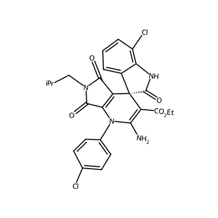 CCOC(=O)C1=C(N)N(c2ccc(Cl)cc2)C2=C(C(=O)N(CC(C)C)C2=O)[C@]12C(=O)Nc1c(Cl)cccc12